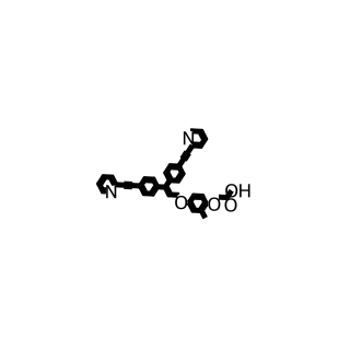 Cc1cc(OCC=C(c2ccc(C#Cc3ccccn3)cc2)c2ccc(C#Cc3ccccn3)cc2)ccc1OCC(=O)O